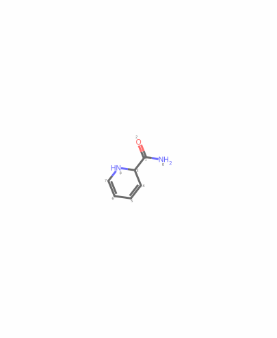 NC(=O)C1[C]=CC=CN1